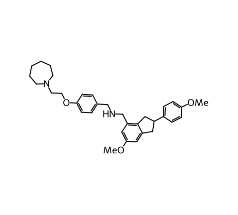 COc1ccc(C2Cc3cc(OC)cc(CNCc4ccc(OCCN5CCCCCC5)cc4)c3C2)cc1